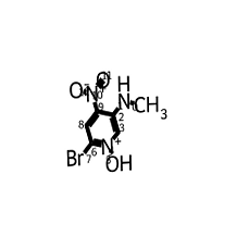 CNc1c[n+](O)c(Br)cc1[N+](=O)[O-]